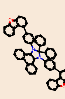 c1ccc(C2(c3ccccc3)N(c3ccc(-c4cccc5oc6ccccc6c45)cc3)c3c(c4ccccc4c4ccccc34)N2c2ccc(-c3cccc4oc5ccccc5c34)cc2)cc1